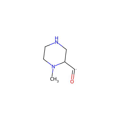 CN1CCNCC1[C]=O